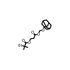 CCC(C)(C)C(=O)OCCC(=O)OCOC12CC3CC(CC(C3)C1)C2